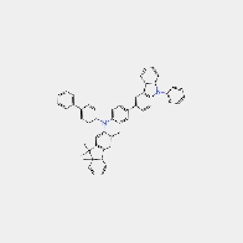 Cc1cc2c(cc1N(c1ccc(-c3ccc4c(c3)C3C=CC=CC3N4c3ccccc3)cc1)C1C=CC(c3ccccc3)=CC1)C(C)(C)C1(C)C=CC=CC21